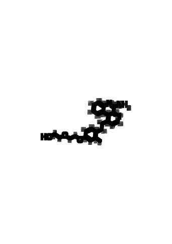 Cc1cc(OCCOCCO)ccc1CCc1ccnc2c(N)nc3ccccc3c12